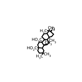 CC1(C)CC[C@]2(C(=O)O)CC[C@]3(C(=O)O)C(=CCC4[C@@]5(C)CCC(=O)C(C)(C)C5CC[C@]43C)C2C1